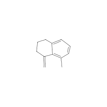 C=C1CCCc2cccc(C)c21